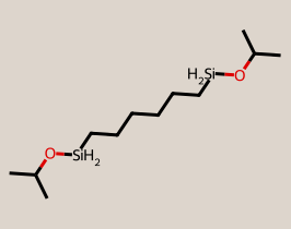 CC(C)O[SiH2]CCCCCC[SiH2]OC(C)C